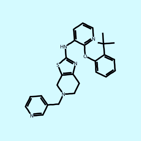 CC(C)(C)c1ccccc1Oc1ncccc1Nc1nc2c(s1)CN(Cc1cccnc1)CC2